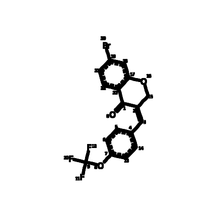 O=C1C(=Cc2ccc(OC(F)(F)F)cc2)COc2cc(Br)ccc21